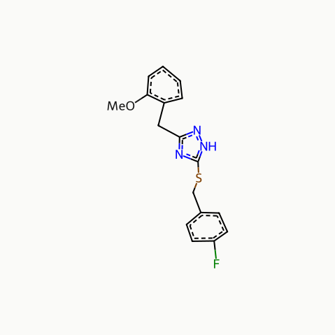 COc1ccccc1Cc1n[nH]c(SCc2ccc(F)cc2)n1